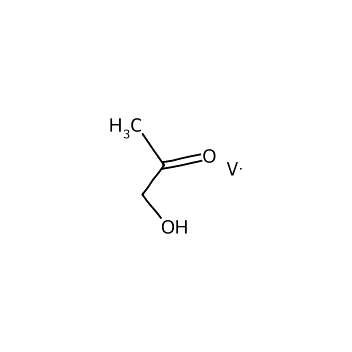 CC(=O)CO.[V]